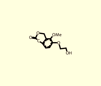 COc1c(OCCO)ccc2c1COC(=O)C2